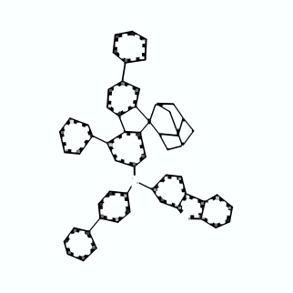 c1ccc(-c2ccc(N(c3cc(-c4ccccc4)c4c(c3)C3(c5cc(-c6ccccc6)ccc5-4)C4CC5CC(C4)CC3C5)c3ccc4c(c3)oc3ccccc34)cc2)cc1